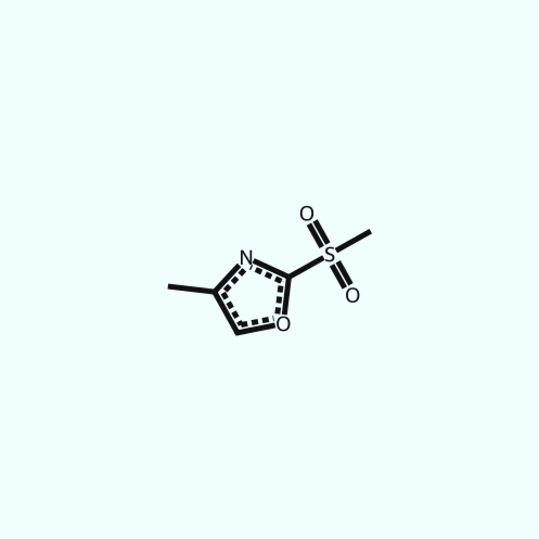 Cc1coc(S(C)(=O)=O)n1